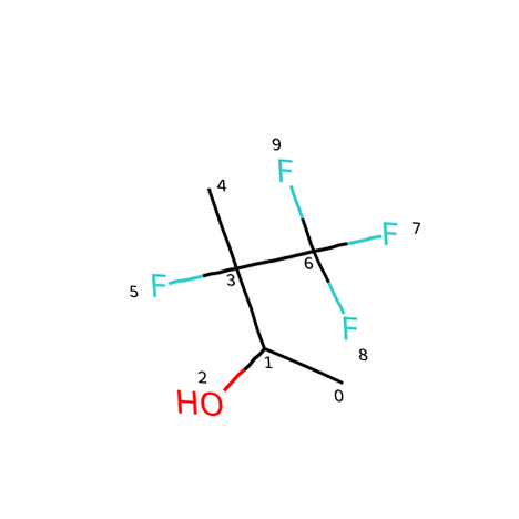 CC(O)C(C)(F)C(F)(F)F